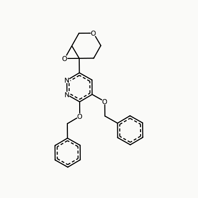 c1ccc(COc2cc(C34CCOCC3O4)nnc2OCc2ccccc2)cc1